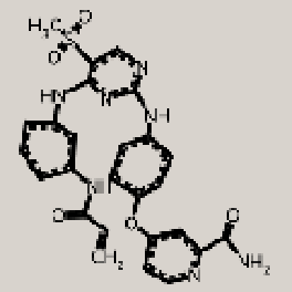 C=CC(=O)Nc1cccc(Nc2nc(Nc3ccc(Oc4ccnc(C(N)=O)c4)cc3)ncc2S(C)(=O)=O)c1